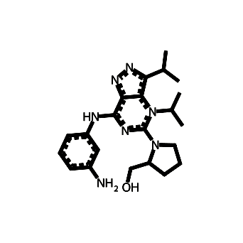 CC(C)c1nnc2c(Nc3cccc(N)c3)nc(N3CCCC3CO)n(C(C)C)c1-2